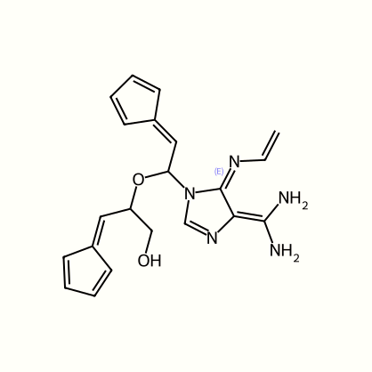 C=C/N=C1\C(=C(N)N)N=CN1C(C=C1C=CC=C1)OC(C=C1C=CC=C1)CO